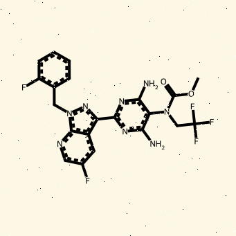 COC(=O)N(CC(F)(F)F)c1c(N)nc(-c2nn(Cc3ccccc3F)c3ncc(F)cc23)nc1N